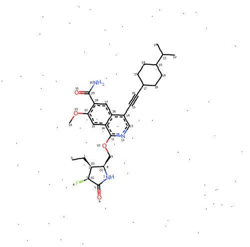 CC[C@@H]1[C@H](F)C(=O)N[C@@H]1COc1ncc(C#CC2CCC(C(C)C)CC2)c2cc(C(N)=O)c(OC)cc12